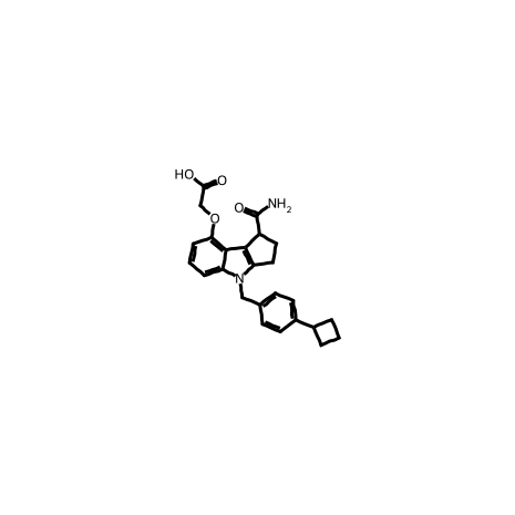 NC(=O)C1CCc2c1c1c(OCC(=O)O)cccc1n2Cc1ccc(C2CCC2)cc1